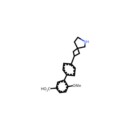 COc1ccc(C(=O)O)cc1-c1ccc(C2CC3(CCNC3)C2)cc1